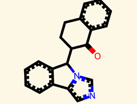 O=C1c2ccccc2CCC1C1c2ccccc2-c2cncn21